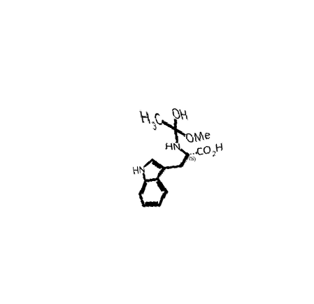 COC(C)(O)N[C@@H](Cc1c[nH]c2ccccc12)C(=O)O